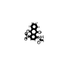 CC(=O)Nc1ccc([N+](=O)[O-])c2c1C(=O)c1ccccc1C2=O